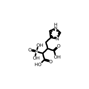 O=C(O)C(Cc1c[nH]cn1)C(C(=O)O)P(=O)(O)O